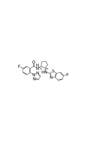 O=C(N[C@H]1CCC[C@H]1Nc1nc2ccc(F)cc2s1)c1cc(F)ccc1-n1nccn1